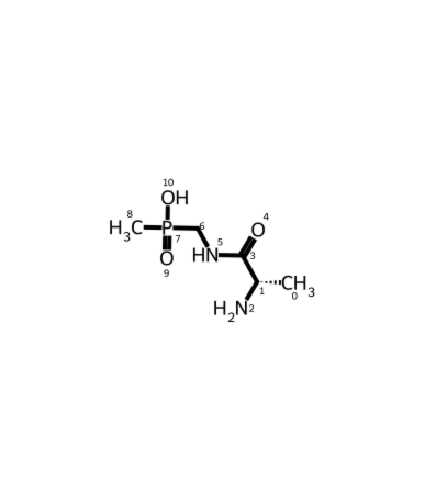 C[C@H](N)C(=O)NCP(C)(=O)O